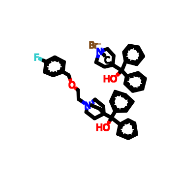 OC(c1ccccc1)(c1ccccc1)C12CCN(CC1)CC2.OC(c1ccccc1)(c1ccccc1)C12CC[N+](CCOCc3ccc(F)cc3)(CC1)CC2.[Br-]